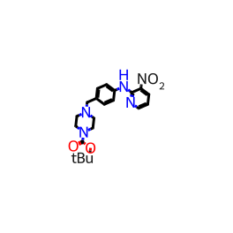 CC(C)(C)OC(=O)N1CCN(Cc2ccc(Nc3ncccc3[N+](=O)[O-])cc2)CC1